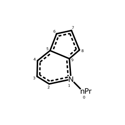 CCCn1cccc2cccc1-2